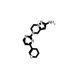 Nc1cc2n(n1)CCN(c1nccc(C3=COCCC3)n1)C2